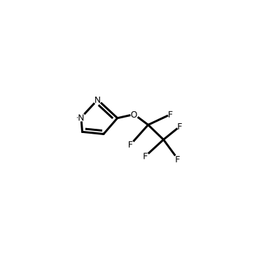 FC(F)(F)C(F)(F)OC1=N[N]C=C1